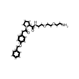 NCCOCCOCCNC(=O)C1CCCN1C(=O)Cc1ccc(OCc2ccccc2)cc1